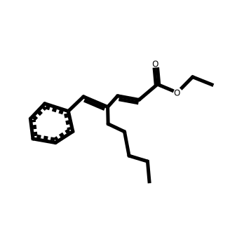 CCCCCC(/C=C/C(=O)OCC)=C\c1ccccc1